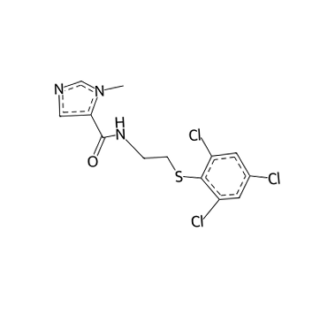 Cn1cncc1C(=O)NCCSc1c(Cl)cc(Cl)cc1Cl